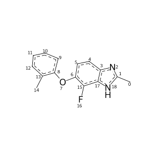 Cc1nc2ccc(Oc3ccccc3C)c(F)c2[nH]1